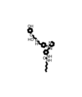 CCCCCCNC(=O)Nc1cccc(-c2nc3cccnc3n2-c2ccc(CCNCC(O)COc3ccc(O)cc3)cc2)c1